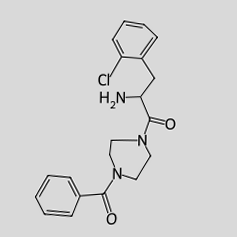 NC(Cc1ccccc1Cl)C(=O)N1CCN(C(=O)c2ccccc2)CC1